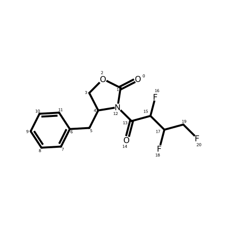 O=C1OCC(Cc2ccccc2)N1C(=O)C(F)C(F)CF